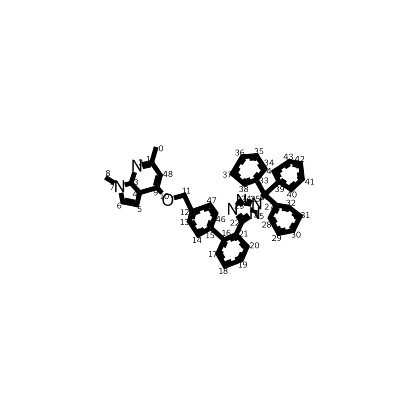 CC1=NC2C(C=CN2C)C(OCc2ccc(-c3ccccc3-c3nnn(C(c4ccccc4)(c4ccccc4)c4ccccc4)n3)cc2)=C1